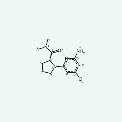 CN(C)C(=O)[C@@H]1CCCN1c1cc(Cl)nc(N)n1